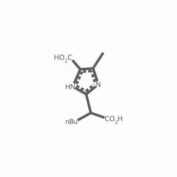 CCCCC(C(=O)O)c1nc(C)c(C(=O)O)[nH]1